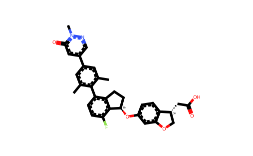 Cc1cc(-c2cnn(C)c(=O)c2)cc(C)c1-c1ccc(F)c2c1CC[C@H]2Oc1ccc2c(c1)OC[C@H]2CC(=O)O